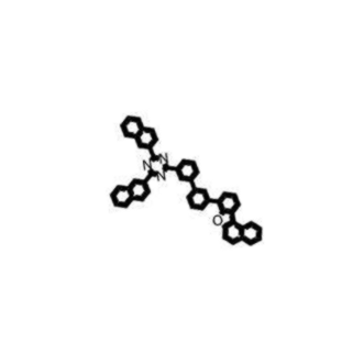 c1cc(-c2cccc(-c3cccc4c3oc3ccc5ccccc5c34)c2)cc(-c2nc(-c3ccc4ccccc4c3)nc(-c3ccc4ccccc4c3)n2)c1